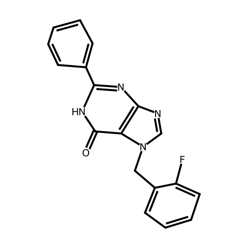 O=c1[nH]c(-c2ccccc2)nc2ncn(Cc3ccccc3F)c12